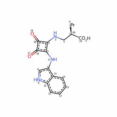 CC(C)[C@H](CNc1c(Nc2c[nH]c3ccccc23)c(=O)c1=O)C(=O)O